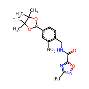 CC(C)(C)c1noc(C(=O)NCc2ccc(B3OC(C)(C)C(C)(C)O3)cc2[N+](=O)[O-])n1